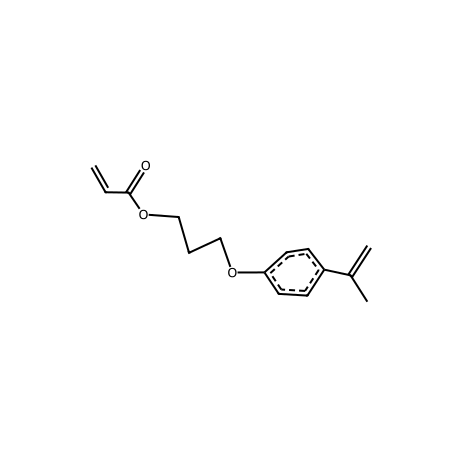 C=CC(=O)OCCCOc1ccc(C(=C)C)cc1